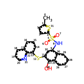 Cc1ccc(S(=O)(=O)Nc2cc(Sc3cccc4cccnc34)c(O)c3ccccc23)s1